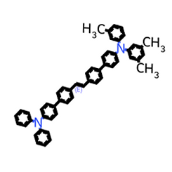 Cc1cccc(N(c2ccc(-c3ccc(/C=C/c4ccc(-c5ccc(N(c6ccccc6)c6ccccc6)cc5)cc4)cc3)cc2)c2cc(C)cc(C)c2)c1